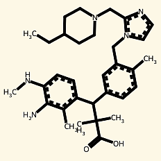 CCC1CCN(Cc2nccn2Cc2cc(C(c3ccc(NC)c(N)c3C)C(C)(C)C(=O)O)ccc2C)CC1